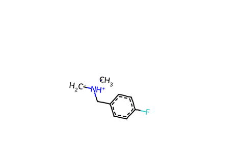 [CH2-][NH+](C)Cc1ccc(F)cc1